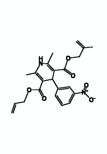 C=CCOC(=O)C1=C(C)NC(C)=C(C(=O)OCC(=C)C)C1c1cccc([N+](=O)[O-])c1